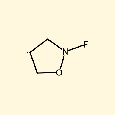 FN1C[CH]CO1